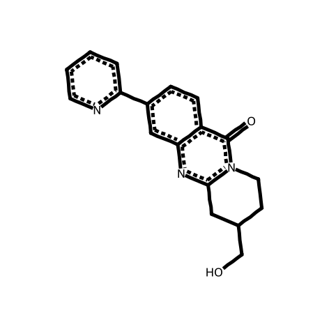 O=c1c2ccc(-c3ccccn3)cc2nc2n1CCC(CO)C2